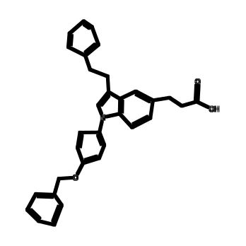 O=C(O)CCc1ccc2c(c1)c(CCc1ccccc1)cn2-c1ccc(OCc2ccccc2)cc1